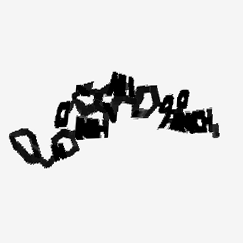 CNC(=O)COc1ccc(-c2nc3c(NC4CCN(Cc5ccccc5)CC4)c(Cl)cnc3[nH]2)cc1